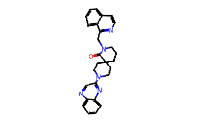 O=C1N(Cc2nccc3ccccc23)CCCC12CCN(c1cnc3ccccc3n1)CC2